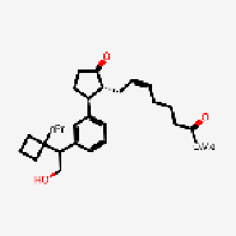 CCCC1(C(CO)c2cccc([C@H]3CCC(=O)[C@@H]3C/C=C\CCCC(=O)OC)c2)CCC1